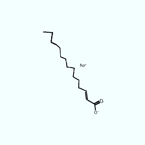 CCCCCCCCCCCC=CC(=O)[O-].[Na+]